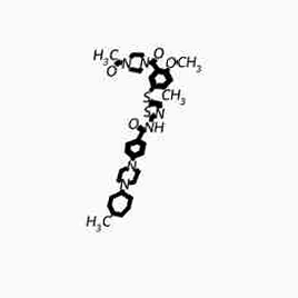 COc1cc(C)c(Sc2cnc(NC(=O)c3ccc(N4CCN(C5CCC[C@H](C)CC5)CC4)cc3)s2)cc1C(=O)N1CCN(C(C)=O)CC1